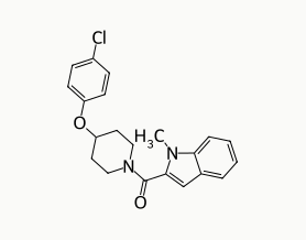 Cn1c(C(=O)N2CCC(Oc3ccc(Cl)cc3)CC2)cc2ccccc21